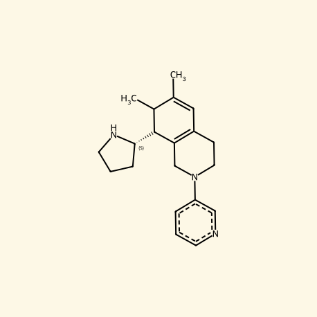 CC1=CC2=C(CN(c3cccnc3)CC2)C([C@@H]2CCCN2)C1C